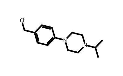 CC(C)N1CCN(c2ccc(CCl)cc2)CC1